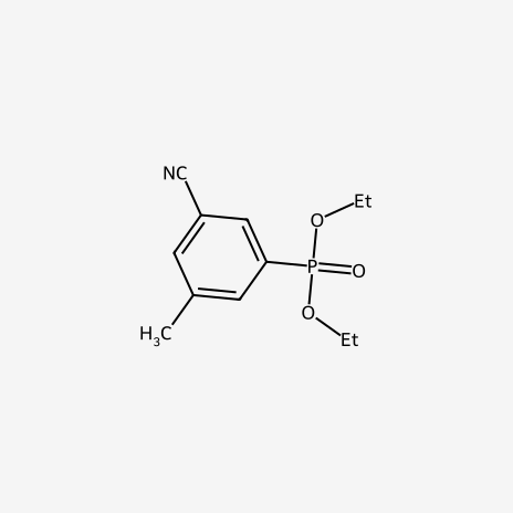 CCOP(=O)(OCC)c1cc(C)cc(C#N)c1